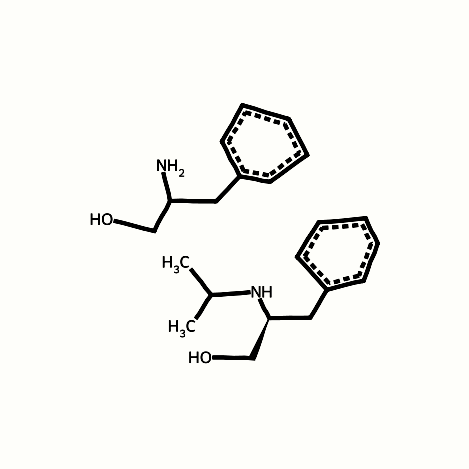 CC(C)N[C@H](CO)Cc1ccccc1.NC(CO)Cc1ccccc1